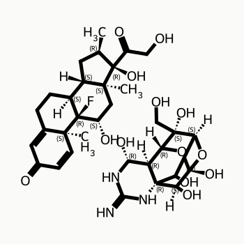 C[C@@H]1C[C@H]2[C@@H]3CCC4=CC(=O)C=C[C@]4(C)[C@@]3(F)[C@@H](O)C[C@]2(C)[C@@]1(O)C(=O)CO.N=C1N[C@H](O)[C@H]2[C@H]3O[C@]4(O)O[C@@H](C(O)[C@@]2(N1)[C@@H]4O)[C@]3(O)CO